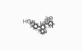 CS(=O)(=O)c1ccncc1Nc1cc(-c2ccc3sc(O)nc3c2)c2nccnc2c1